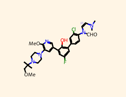 COCC(C)(C)N1CCN(c2cc(-c3cc(F)cc(-c4ccc(N(C=O)/C=C\N(C)C)c(Cl)c4)c3O)cnc2OC)CC1